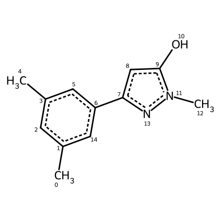 Cc1cc(C)cc(-c2cc(O)n(C)n2)c1